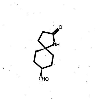 O=C[C@H]1CC[C@]2(CCC(=O)N2)CC1